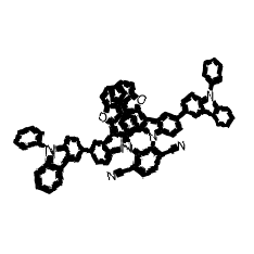 N#Cc1ccc(C#N)c(-n2c3ccc(-c4ccc5c(c4)c4ccccc4n5-c4ccccc4)cc3c3c4oc5ccccc5c4ccc32)c1-n1c2ccc(-c3ccc4c(c3)c3ccccc3n4-c3ccccc3)cc2c2c3oc4ccccc4c3ccc21